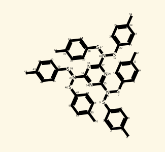 Cc1ccc(SN(Sc2ccc(C)cc2)c2nc(N(Sc3ccc(C)cc3)Sc3ccc(C)cc3)nc(N(Sc3ccc(C)cc3)Sc3ccc(C)cc3)n2)cc1